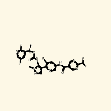 C[C@@H](OC(=O)Nc1c(-c2ncc(NC(=O)c3cnc(C(F)F)nc3)cc2F)cnn1C)c1cc(F)cnc1F